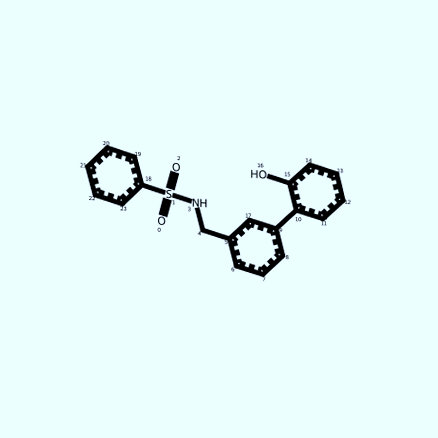 O=S(=O)(NCc1cccc(-c2[c]cccc2O)c1)c1ccccc1